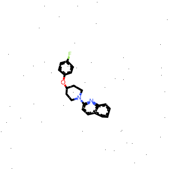 Fc1ccc(OC2CCN(c3ccc4ccccc4n3)CC2)cc1